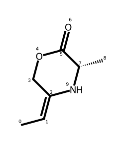 C/C=C1\COC(=O)[C@H](C)N1